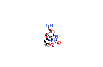 N=C=O.O=C1C=CC(=O)N1.O=C1C=CC(=O)N1